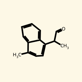 Cc1ccc(C(C)C=O)c2ccccc12